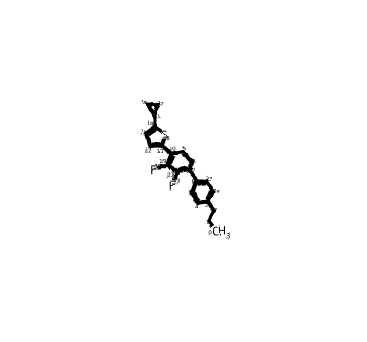 CCCc1ccc(-c2ccc(-c3ccc(C4CC4)s3)c(F)c2F)cc1